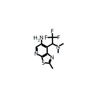 Cc1nc2c(C(N(C)C)C(F)(F)F)c(N)cnc2s1